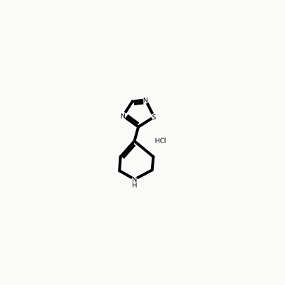 C1=C(c2ncns2)CCNC1.Cl